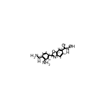 NNc1ccc(-c2nc3ccc(C(=O)NO)cc3o2)cc1N